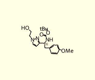 COc1ccc(C[C@H](NC(=O)OC(C)(C)C)c2ccn(CCO)n2)cc1